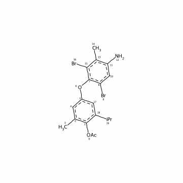 CC(=O)Oc1c(C)cc(Oc2c(Br)cc(N)c(C)c2Br)cc1C(C)C